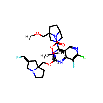 COCC12CCC(CN(c3nc(OCC45CCCN4C/C(=C\F)C5)nc4c(F)c(Cl)ncc34)C1)N2C(=O)OC(C)(C)C